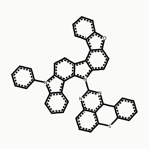 c1ccc(-n2c3ccccc3c3c2ccc2c4c5c(ccc4n(-c4nc6c7c(cccc7n4)Sc4ccccc4-6)c23)oc2ccccc25)cc1